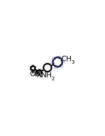 CC1=C/C=C\C=C/C(C2CCCCC(c3cc(-c4ccccc4O)nnc3N)CCCC2)=C\C=C/C=C\1